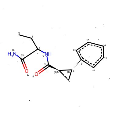 CCC(NC(=O)[C@@H]1C[C@H]1c1ccccc1)C(N)=O